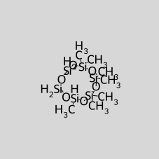 C[SiH]1O[SiH2]O[SiH2]O[Si](C)(C)O[Si](C)(C)O[Si](C)(C)O1